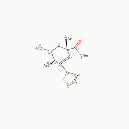 COC(=O)[C@]1(OC(C)=O)C=C(c2cccs2)[C@@H](OC(C)=O)C(OC(C)=O)C1